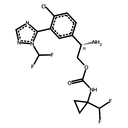 N[C@H](COC(=O)NC1(C(F)F)CC1)c1ccc(Cl)c(-c2ncnn2C(F)F)c1